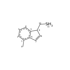 Cc1cccc2c1C=CC2C[SiH3]